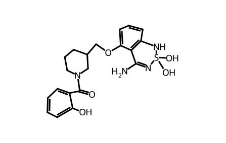 NC1=NS(O)(O)Nc2cccc(OCC3CCCN(C(=O)c4ccccc4O)C3)c21